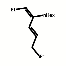 CCC=C(C=CCC(C)C)CCCCCC